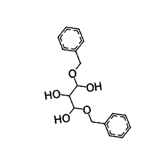 OC(OCc1ccccc1)C(O)C(O)OCc1ccccc1